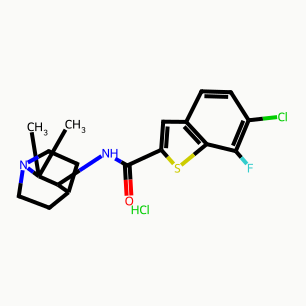 CC1(C)C(NC(=O)c2cc3ccc(Cl)c(F)c3s2)C2CCN1CC2.Cl